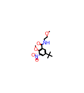 COCCNC(=O)c1cc(C(C)(C)C)cc([N+](=O)[O-])c1OC